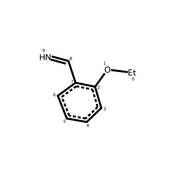 CCOc1ccccc1C=N